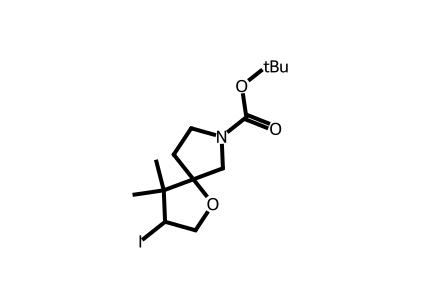 CC(C)(C)OC(=O)N1CCC2(C1)OCC(I)C2(C)C